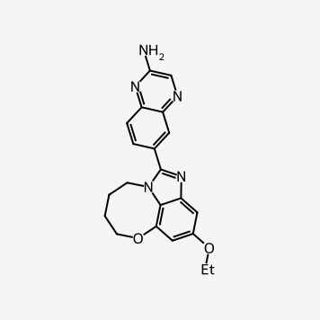 CCOc1cc2c3c(c1)nc(-c1ccc4nc(N)cnc4c1)n3CCCCO2